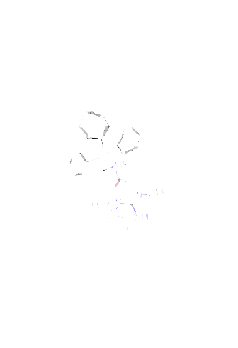 CN(CC(=O)N(C)C[PH](c1ccccc1)(c1ccccc1)c1ccccc1)C(=N)NP(=O)(O)O